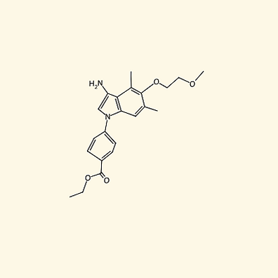 CCOC(=O)c1ccc(-n2cc(N)c3c(C)c(OCCOC)c(C)cc32)cc1